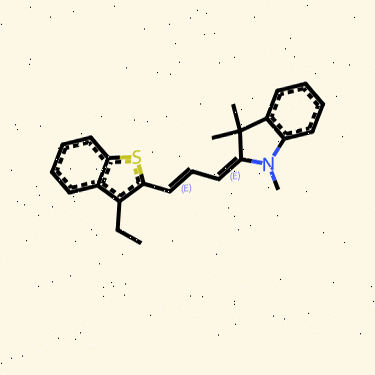 CCc1c(/C=C/C=C2/N(C)c3ccccc3C2(C)C)sc2ccccc12